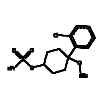 CCCCOC1(c2ccccc2Cl)CCC(OS(=O)(=O)CCC)CC1